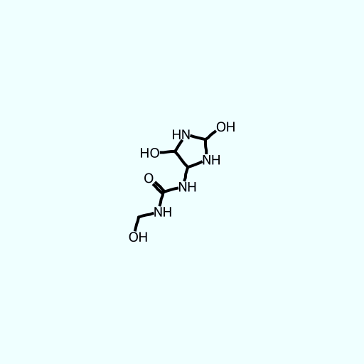 O=C(NCO)NC1NC(O)NC1O